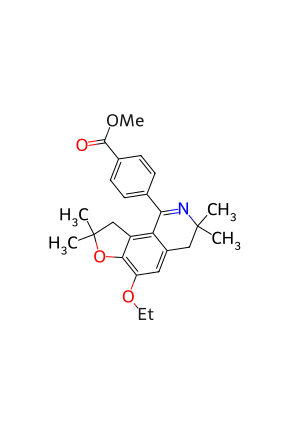 CCOc1cc2c(c3c1OC(C)(C)C3)C(c1ccc(C(=O)OC)cc1)=NC(C)(C)C2